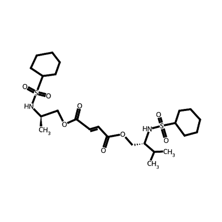 CC(C)[C@H](COC(=O)/C=C/C(=O)OC[C@@H](C)NS(=O)(=O)C1CCCCC1)NS(=O)(=O)C1CCCCC1